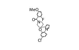 COc1ccc(F)c(C(=O)N2CCC3(CC2)Oc2cc(Cl)ccc2-n2cccc23)c1